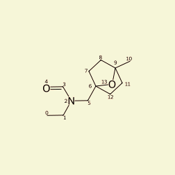 CCN(C=O)CC12CCC(C)(CC1)O2